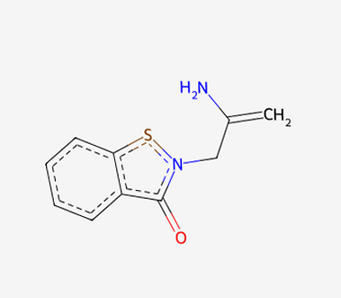 C=C(N)Cn1sc2ccccc2c1=O